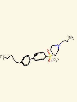 COCCN1CCC(C(=O)O)(S(=O)(=O)c2ccc(-c3ccc(CCCC(F)(F)F)cc3)cc2)CC1